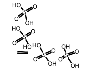 C=C.O=S(=O)(O)O.O=S(=O)(O)O.O=S(=O)(O)O.O=S(=O)(O)O